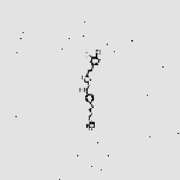 Clc1ccc(C=Cc2nc(CNc3ccc(CCCCn4ccnn4)cc3)co2)cc1Cl